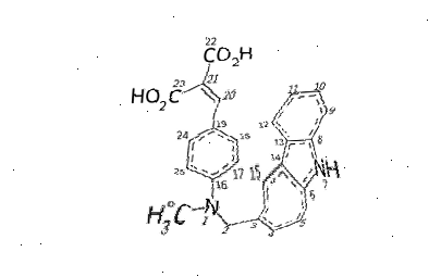 CN(Cc1ccc2[nH]c3ccccc3c2c1)c1ccc(C=C(C(=O)O)C(=O)O)cc1